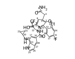 CCOc1c(CC(N)=O)cc([C@@](O)(CNC(=O)c2cc(NC3CC3)c3[nH]ccc3c2)C(F)(F)F)nc1-c1ccc(F)cc1